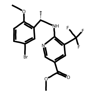 COC(=O)c1cnc(N[C@@H](C)c2cc(Br)ccc2OC)c(C(F)(F)F)c1